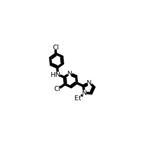 CCn1ccnc1-c1cnc(Nc2ccc(Cl)cc2)c(Cl)c1